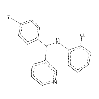 Fc1ccc(C(Nc2ccccc2Cl)c2cccnc2)cc1